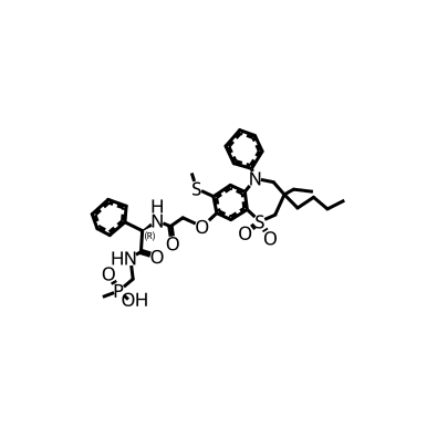 CCCCC1(CC)CN(c2ccccc2)c2cc(SC)c(OCC(=O)N[C@@H](C(=O)NCP(C)(=O)O)c3ccccc3)cc2S(=O)(=O)C1